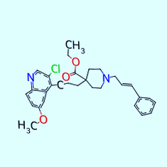 CCOC(=O)C1(CCCc2c(Cl)cnc3ccc(OC)cc23)CCN(CC=Cc2ccccc2)CC1